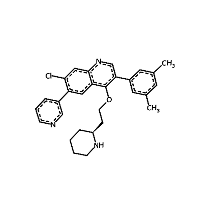 Cc1cc(C)cc(-c2cnc3cc(Cl)c(-c4cccnc4)cc3c2OCC[C@@H]2CCCCN2)c1